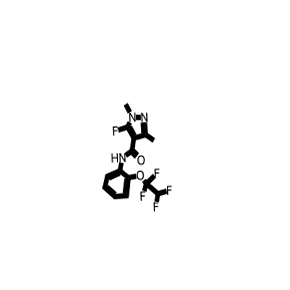 Cc1nn(C)c(F)c1C(=O)Nc1ccccc1OC(F)(F)C(F)F